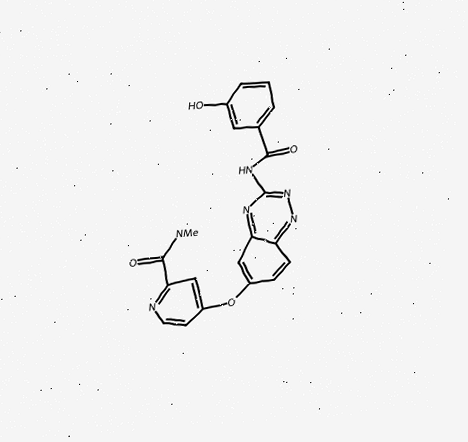 CNC(=O)c1cc(Oc2ccc3nnc(NC(=O)c4cccc(O)c4)nc3c2)ccn1